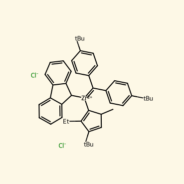 CCC1=[C]([Zr+2](=[C](c2ccc(C(C)(C)C)cc2)c2ccc(C(C)(C)C)cc2)[CH]2c3ccccc3-c3ccccc32)C(C)C=C1C(C)(C)C.[Cl-].[Cl-]